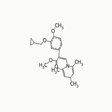 COC(=O)/C(=C\N1C(C)=CC(C)C=C1C)c1ccc(OC)c(OCC2CC2)c1